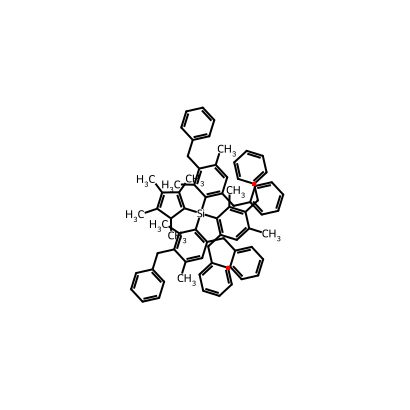 CC1=C(C)C(C)C([Si](c2c(Cc3ccccc3)cc(C)c(Cc3ccccc3)c2C)(c2c(Cc3ccccc3)cc(C)c(Cc3ccccc3)c2C)c2c(Cc3ccccc3)cc(C)c(Cc3ccccc3)c2C)=C1C